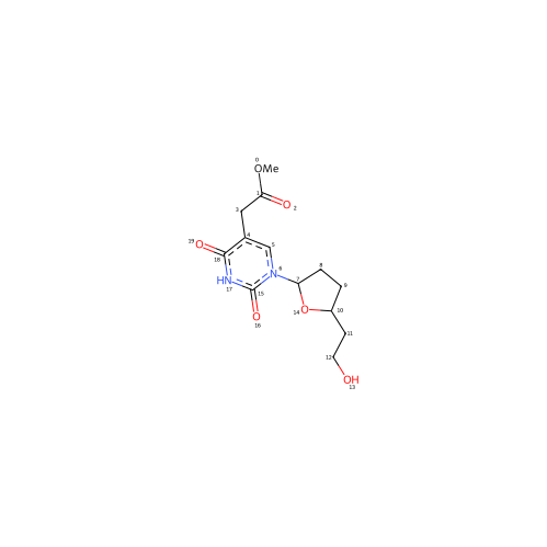 COC(=O)Cc1cn(C2CCC(CCO)O2)c(=O)[nH]c1=O